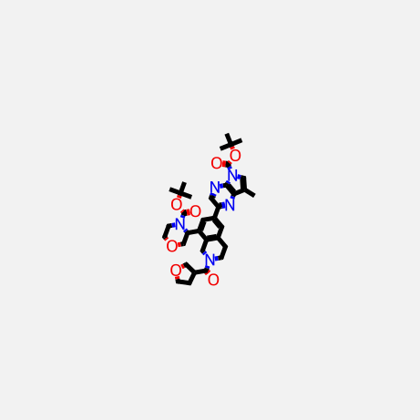 Cc1cn(C(=O)OC(C)(C)C)c2ncc(-c3cc4c(c(C5COCCN5C(=O)OC(C)(C)C)c3)CN(C(=O)C3CCOC3)CC4)nc12